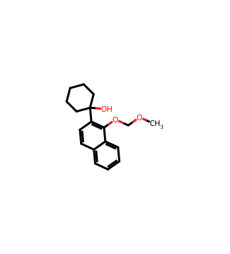 COCOc1c(C2(O)CCCCC2)ccc2ccccc12